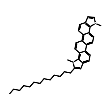 CCCCCCCCCCCCCc1cc2ccc3c4ccc5c(ccc6ccn(C)c65)c4ccc3c2n1C